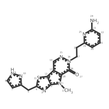 Cn1c2nc(Cc3cc[nH]n3)sc2c2cnn(CCc3cccc(N)n3)c(=O)c21